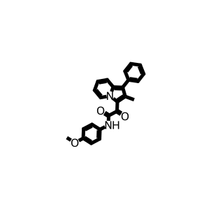 COc1ccc(NC(=O)C(=O)c2c(C)c(-c3ccccc3)c3ccccn23)cc1